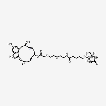 C[C@@H]1C/C=C/C(OC(=O)COCCOCCNC(=O)CCCC[C@@H]2SC[C@@H]3NC(=O)N[C@@H]32)C/C=C/C(=N)Cc2cc(O)cc(O)c2C(=O)O1